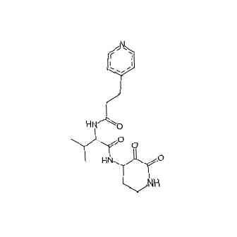 CC(C)C(NC(=O)CCc1ccncc1)C(=O)NC1CCNC(=O)C1=O